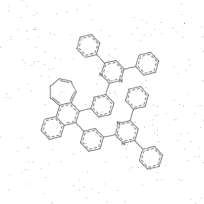 C1=CCC=c2c(c(-c3cccc(-c4nc(-c5ccccc5)cc(-c5ccccc5)n4)c3)c(-c3cccc(-c4nc(-c5ccccc5)cc(-c5ccccc5)n4)c3)c3ccccc23)=C1